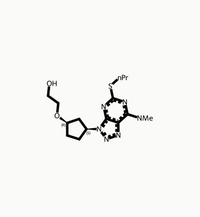 CCCSc1nc(NC)c2nnn([C@H]3CC[C@@H](OCCO)C3)c2n1